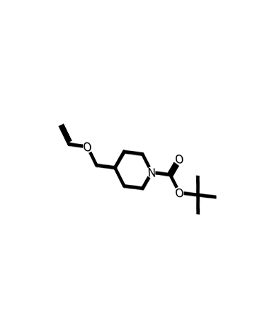 C=COCC1CCN(C(=O)OC(C)(C)C)CC1